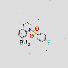 Bc1ccc2c(c1)N(S(=O)(=O)c1ccc(F)cc1)CCC2